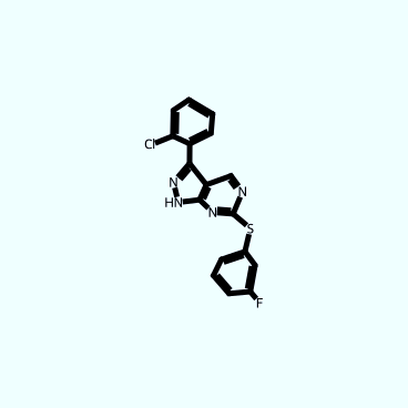 Fc1cccc(Sc2ncc3c(-c4ccccc4Cl)n[nH]c3n2)c1